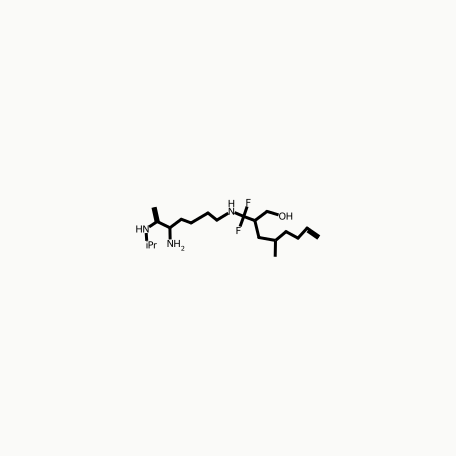 C=CCCC(C)CC(CO)C(F)(F)NCCCCC(N)C(=C)NC(C)C